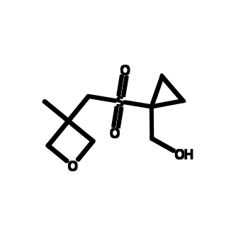 CC1(CS(=O)(=O)C2(CO)CC2)COC1